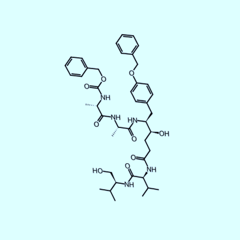 CC(C)[C@H](NC(=O)CC[C@H](O)[C@H](Cc1ccc(OCc2ccccc2)cc1)NC(=O)[C@H](C)NC(=O)[C@H](C)NC(=O)OCc1ccccc1)C(=O)N[C@H](CO)C(C)C